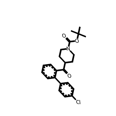 CC(C)(C)OC(=O)N1CCC(C(=O)c2ccccc2-c2ccc(Cl)cc2)CC1